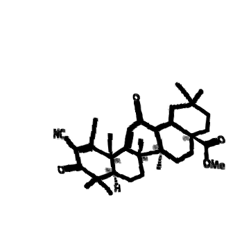 COC(=O)[C@]12CCC(C)(C)CC1C1C(=O)C=C3[C@@]4(C)C(C)=C(C#N)C(=O)C(C)(C)[C@@H]4CC[C@@]3(C)[C@]1(C)CC2